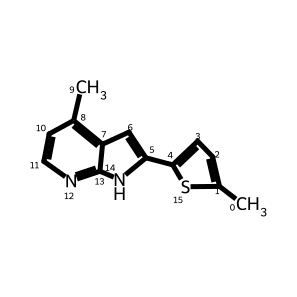 Cc1ccc(-c2cc3c(C)ccnc3[nH]2)s1